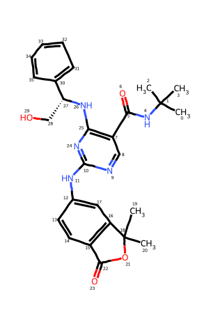 CC(C)(C)NC(=O)c1cnc(Nc2ccc3c(c2)C(C)(C)OC3=O)nc1N[C@H](CO)c1ccccc1